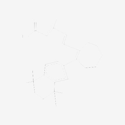 CC(C=CC1=C(c2ccc3c(c2)C(C)(C)CCC3(C)C)CCCCC1)=CC(=O)O